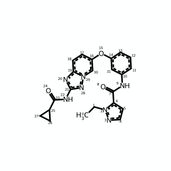 CCn1nccc1C(=O)Nc1cccc(Oc2ccc3nc(NC(=O)C4CC4)nn3c2)c1